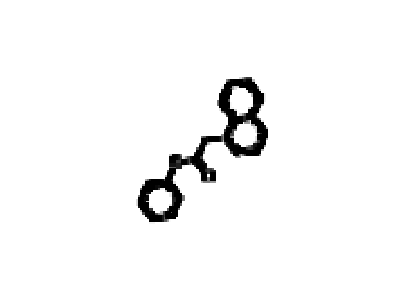 O=C(Cc1cccc2ccccc12)Oc1ccccc1